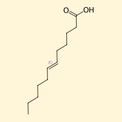 CCCCC/C=C/CCCCC(=O)O